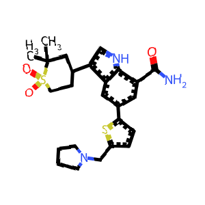 CC1(C)CC(c2c[nH]c3c(C(N)=O)cc(-c4ccc(CN5CCCC5)s4)cc23)CCS1(=O)=O